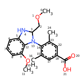 COCC1Nc2cccc(OC)c2N1c1c(C)cc(C(=O)O)cc1C